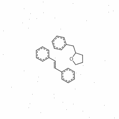 C(=Cc1ccccc1)c1ccccc1.c1ccc(CC2CCCO2)cc1